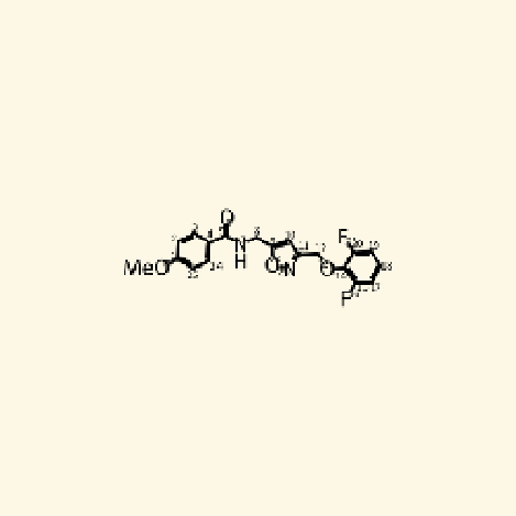 COc1ccc(C(=O)NCc2cc(COc3c(F)cccc3F)no2)cc1